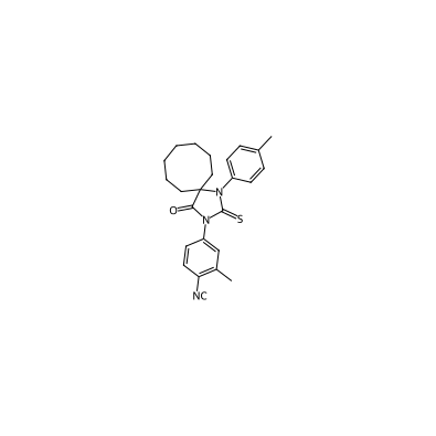 [C-]#[N+]c1ccc(N2C(=O)C3(CCCCCCC3)N(c3ccc(C)cc3)C2=S)cc1C